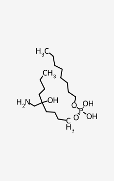 CCCCC(O)(CN)CCCC.CCCCCCCCOP(=O)(O)O